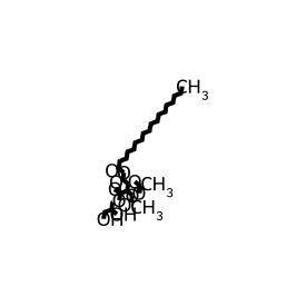 CCCCCCCCCCCCCCCCCC(=O)OC(=O)C(OC(C)=O)C(OC(C)=O)C(=O)OCC(O)CO